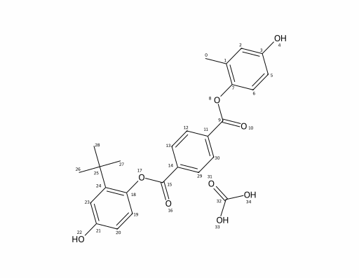 Cc1cc(O)ccc1OC(=O)c1ccc(C(=O)Oc2ccc(O)cc2C(C)(C)C)cc1.O=C(O)O